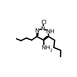 CCCCC1=NN(Cl)NC(CCCC)=C1N